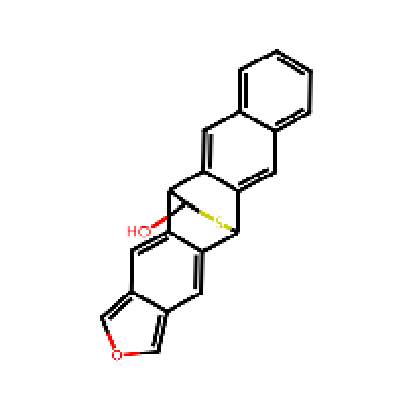 OC1SC2c3cc4ccccc4cc3C1c1cc3cocc3cc12